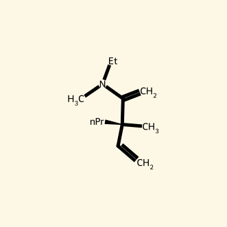 C=C[C@](C)(CCC)C(=C)N(C)CC